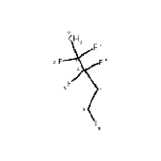 CC(F)(F)C(F)(F)CCI